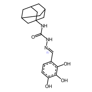 O=C(N/N=C/c1ccc(O)c(O)c1O)NC12CC3CC(CC(C3)C1)C2